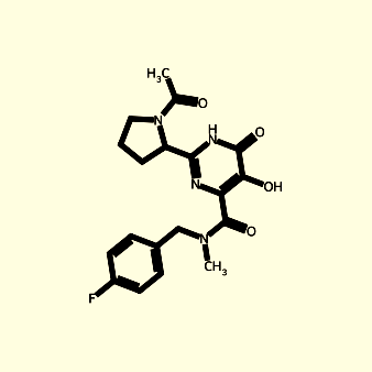 CC(=O)N1CCCC1c1nc(C(=O)N(C)Cc2ccc(F)cc2)c(O)c(=O)[nH]1